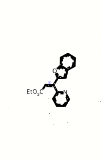 CCOC(=O)/C=C(\c1ccccn1)c1cc2ccccc2o1